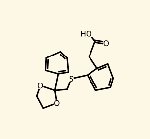 O=C(O)Cc1ccccc1SCC1(c2ccccc2)OCCO1